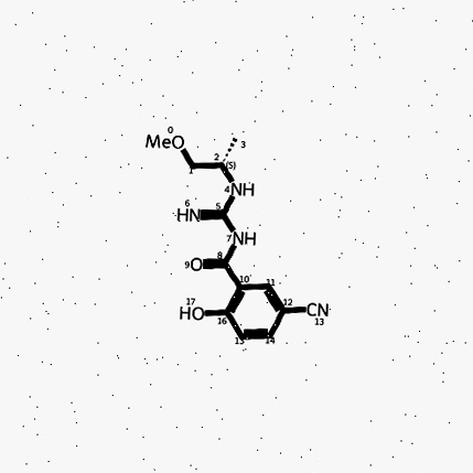 COC[C@H](C)NC(=N)NC(=O)c1cc(C#N)ccc1O